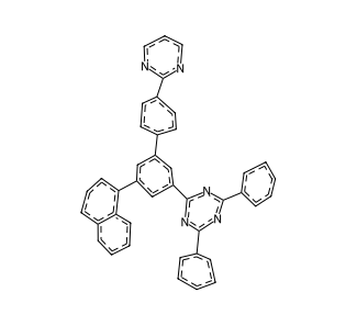 c1ccc(-c2nc(-c3ccccc3)nc(-c3cc(-c4ccc(-c5ncccn5)cc4)cc(-c4cccc5ccccc45)c3)n2)cc1